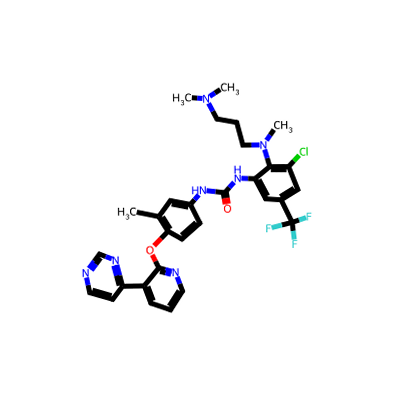 Cc1cc(NC(=O)Nc2cc(C(F)(F)F)cc(Cl)c2N(C)CCCN(C)C)ccc1Oc1ncccc1-c1ccncn1